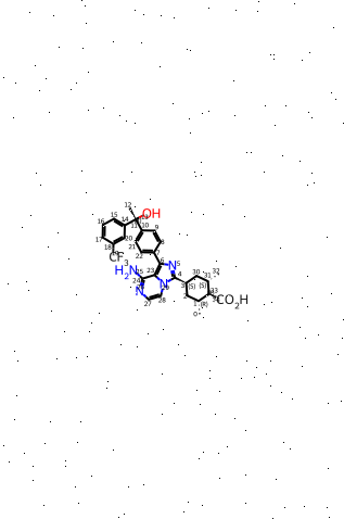 C[C@@H]1C[C@@H](c2nc(-c3ccc([C@@](C)(O)c4cccc(C(F)(F)F)c4)cc3)c3c(N)nccn23)C[C@H](C)[C@H]1C(=O)O